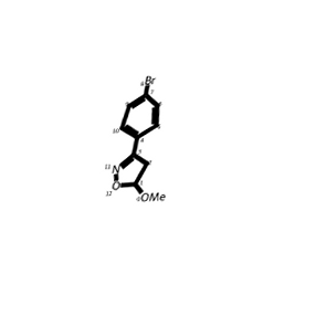 COC1CC(c2ccc(Br)cc2)=NO1